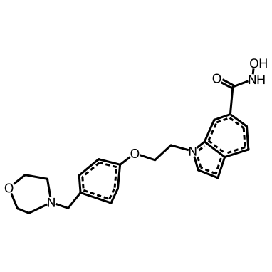 O=C(NO)c1ccc2ccn(CCOc3ccc(CN4CCOCC4)cc3)c2c1